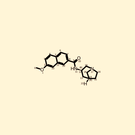 COc1ccc2ccc(C(=O)N[C@@H]3C[C@H]4CCN(C4)C3)cc2c1